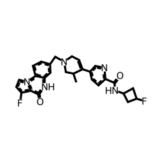 CC1CN(Cc2ccc3c(c2)[nH]c(=O)c2c(F)ccn23)CC=C1c1ccc(C(=O)NC2CC(F)C2)nc1